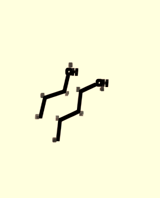 CCCCO.CCCO